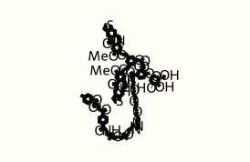 COC1=CC2C(=O)N3Cc4ccsc4CC3C=NC2C=C1OCc1cc(COc2cc3c(cc2OC)C(=O)N2Cc4ccsc4C[C@H]2C=N3)cc(OS(=O)(=O)Oc2cc(C(=O)NCCOCCOCCOCCn3cc(COC(C)(C)COCC(C)(C)CNC(=O)c4ccc(C(=O)CCS(=O)(=O)c5ccc(C)cc5)cc4)nn3)ccc2O[C@H]2C[C@@H](O)C(O)[C@@H](CO)O2)c1